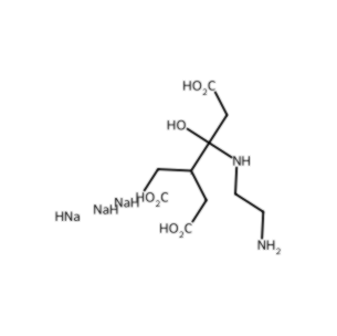 NCCNC(O)(CC(=O)O)[C](CC(=O)O)CC(=O)O.[NaH].[NaH].[NaH]